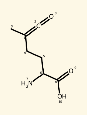 CC(=C=O)CCC(N)C(=O)O